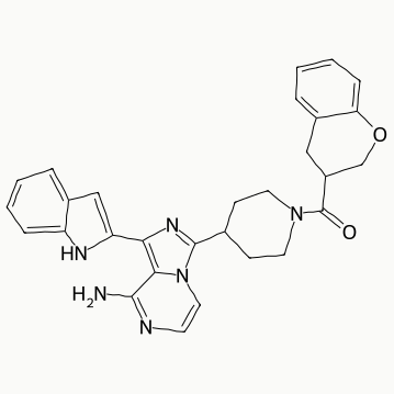 Nc1nccn2c(C3CCN(C(=O)C4COc5ccccc5C4)CC3)nc(-c3cc4ccccc4[nH]3)c12